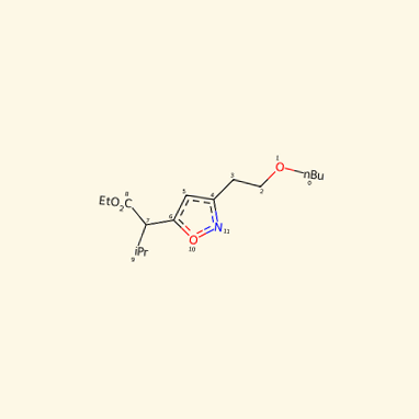 CCCCOCCc1cc(C(C(=O)OCC)C(C)C)on1